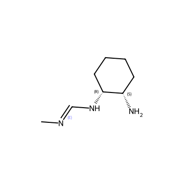 C/N=C/N[C@@H]1CCCC[C@@H]1N